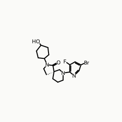 O=C1N(C2CCC(O)CC2)CC[C@]12CCCN(c1ncc(Br)cc1F)C2